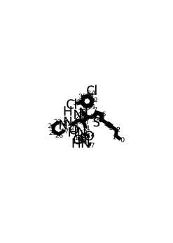 CCCC#Cc1ccc(-c2c(CNS(=O)(=O)NC)c(C(=O)NN3CCCCC3)nn2-c2ccc(Cl)cc2Cl)s1